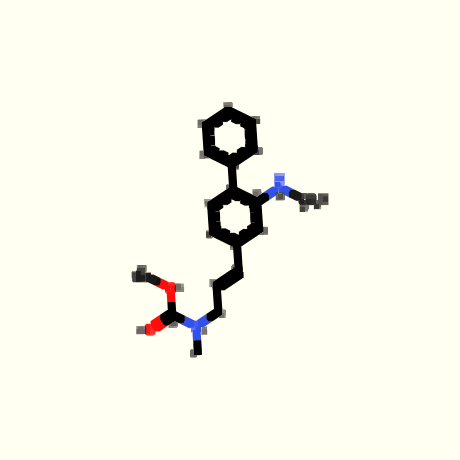 CN(CC=Cc1ccc(-c2ccccc2)c(NC(=O)O)c1)C(=O)OC(C)(C)C